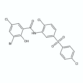 O=C(Nc1cc(S(=O)(=O)c2ccc(Cl)cc2)ccc1Cl)c1cc(Cl)cc(Br)c1O